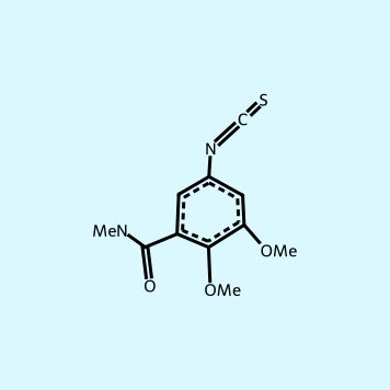 CNC(=O)c1cc(N=C=S)cc(OC)c1OC